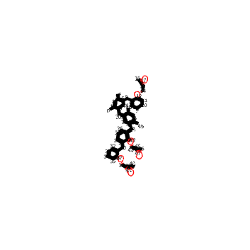 Cc1cc(C)c(Cc2ccccc2OCC2CO2)cc1Cc1cc(Cc2cccc(Cc3ccccc3OCC3CO3)c2OCC2CO2)c(C)cc1C